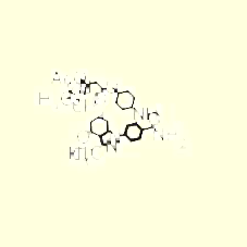 CC(=O)OC(CC(=O)OC1CCC(Nc2cc(-n3nc(C)c4c3CCCC4=O)ccc2C(N)=O)CC1)C[N+](C)(C)C.[Cl-]